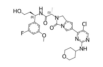 COc1cc(F)cc([C@@H](CCO)NC(=O)[C@H](C)N2Cc3cc(-c4nc(NC5CCOCC5)ncc4Cl)cn3C2=O)c1